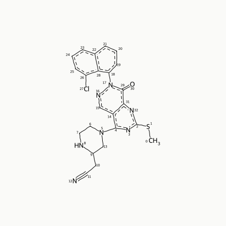 CSc1nc(N2CCNC(CC#N)C2)c2cnn(-c3cccc4cccc(Cl)c34)c(=O)c2n1